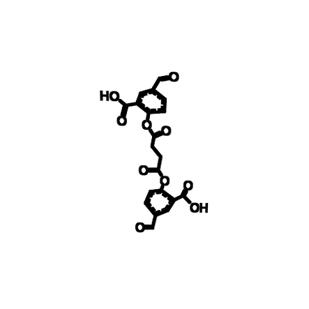 O=Cc1ccc(OC(=O)CCC(=O)Oc2ccc(C=O)cc2C(=O)O)c(C(=O)O)c1